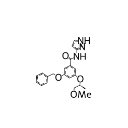 COC[C@H](C)Oc1cc(OCc2ccccc2)cc(C(=O)Nc2cc[nH]n2)c1